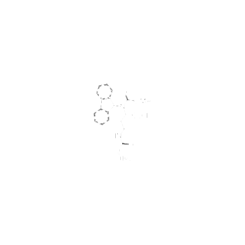 COC(=O)N(C1c2ccccc2-c2ccccc21)[C@@H](CCNC(=O)OC(C)(C)C)C(=O)O